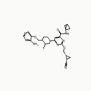 N#C[C@@H]1C[C@@H]1COc1nc(C(=O)NC23CC(C2)C3)cc(N2CCC(COc3cncnc3N)C(F)C2)n1